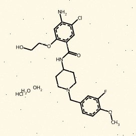 COc1ccc(CN2CCC(NC(=O)c3cc(Cl)c(N)cc3OCCO)CC2)cc1F.Cl.O.O